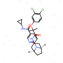 CC(C)(Oc1ccc(Cl)c(Cl)c1)C(=O)N[C@H]1C[C@H]2CC[C@@H](C1)N2c1ccc(C(=O)NC2CC2)cn1